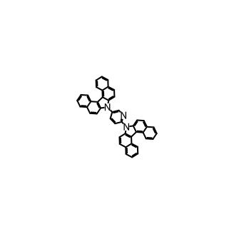 c1ccc2c(c1)ccc1c2c2c3ccccc3ccc2n1-c1ccc(-n2c3ccc4ccccc4c3c3c4ccccc4ccc32)nc1